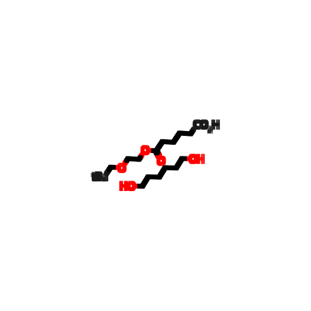 CC(C)(C)COCCOC(=O)CCCCC(=O)O.OCCCCCCO